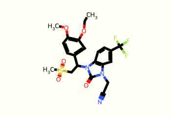 CCOc1cc(C(CS(C)(=O)=O)n2c(=O)n(CC#N)c3cc(C(F)(F)F)ccc32)ccc1OC